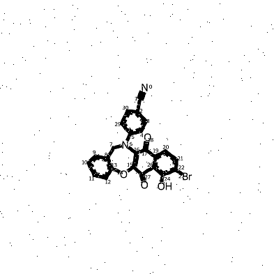 N#Cc1ccc(N2Cc3ccccc3OC3=C2C(=O)c2ccc(Br)c(O)c2C3=O)cc1